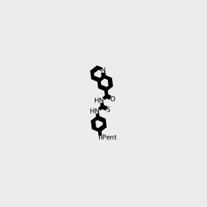 CCCCCc1ccc(NC(=S)NC(=O)c2ccc3ncccc3c2)cc1